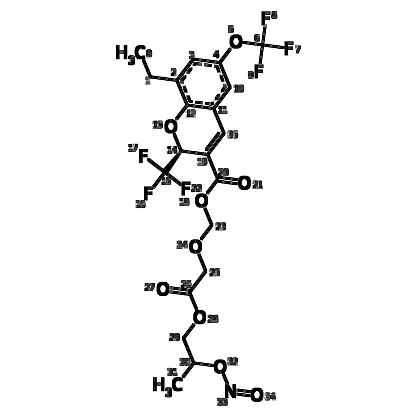 CCc1cc(OC(F)(F)F)cc2c1O[C@H](C(F)(F)F)C(C(=O)OCOCC(=O)OCC(C)ON=O)=C2